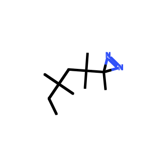 CCC(C)(C)CC(C)(C)C1(C)N=N1